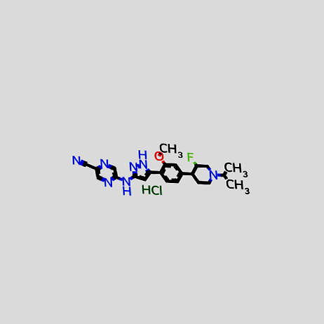 COc1cc(C2CCN(C(C)C)CC2F)ccc1-c1cc(Nc2cnc(C#N)cn2)n[nH]1.Cl